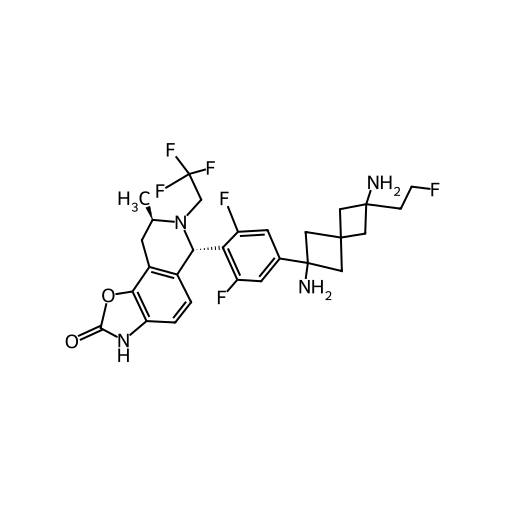 C[C@@H]1Cc2c(ccc3[nH]c(=O)oc23)[C@@H](c2c(F)cc(C3(N)CC4(CC(N)(CCF)C4)C3)cc2F)N1CC(F)(F)F